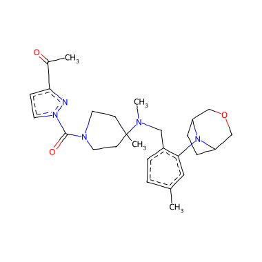 CC(=O)c1ccn(C(=O)N2CCC(C)(N(C)Cc3ccc(C)cc3N3C4CCC3COC4)CC2)n1